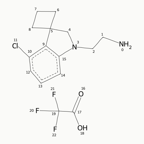 NCCN1CC2(CCC2)c2c(Cl)cccc21.O=C(O)C(F)(F)F